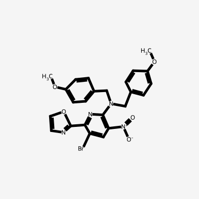 COc1ccc(CN(Cc2ccc(OC)cc2)c2nc(-c3ncco3)c(Br)cc2[N+](=O)[O-])cc1